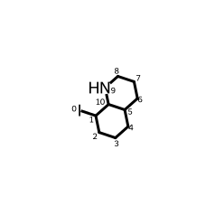 IC1CCCC2CCCNC12